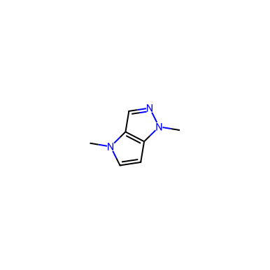 Cn1ccc2c1cnn2C